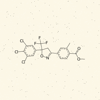 COC(=O)c1ccc(C2=NOC(c3cc(Cl)c(Cl)c(Cl)c3)(C(F)(F)F)C2)cc1C